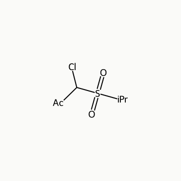 CC(=O)C(Cl)S(=O)(=O)C(C)C